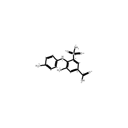 Cc1ccc(Nc2c(N)cc(C(=O)O)cc2S(N)(=O)=O)cc1